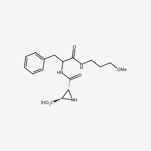 CCOC(=O)[C@@H]1N[C@H]1C(=O)NC(Cc1ccccc1)C(=O)NCCCOC